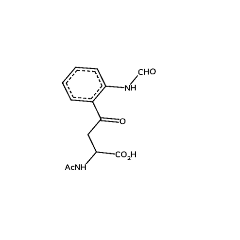 CC(=O)NC(CC(=O)c1ccccc1NC=O)C(=O)O